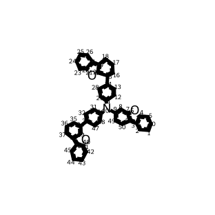 c1ccc2c(c1)oc1cc(N(c3ccc(-c4cccc5c4oc4ccccc45)cc3)c3ccc(-c4cccc5c4oc4ccccc45)cc3)ccc12